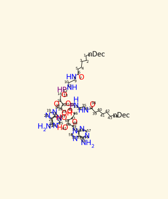 CCCCCCCCCCCCCCCC(=O)NCCNPOCC1OC(n2cnc3c(N)ncnc32)C(O)C1OP(NCCNC(=O)CCCCCCCCCCCCCCC)OCC1OC(n2cnc3c(N)ncnc32)C(O)C1O